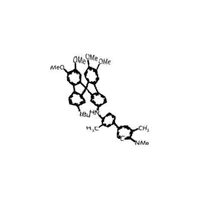 CNc1ccc(-c2ccc(Nc3ccc4c(c3)C3(c5cc(C(C)(C)C)ccc5-c5cc(OC)c(OC)cc53)c3cc(OC)c(OC)cc3-4)c(C)c2)cc1C